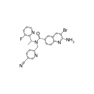 CC(c1ncccc1F)N(Cc1ccc(C#N)cn1)C(=O)c1ccc2nc(N)c(Br)cc2c1